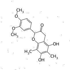 COc1ccc(C2Oc3c(C)c(O)c(C)c(O)c3CC2=O)cc1OC